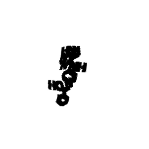 OC(CN1CCC(Nc2ncnc3[nH]ncc23)CC1)c1ccccc1